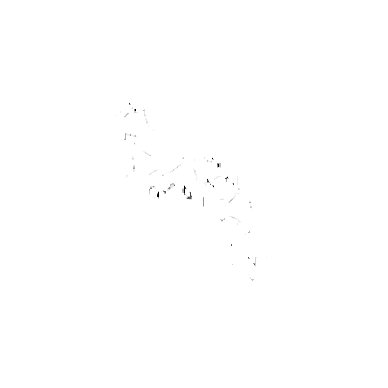 CN1CCC(c2ccc(Nc3ncc4cc(-c5cc(-c6ccncc6)ccc5Cl)c(=O)n(C)c4n3)cc2)CC1